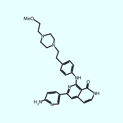 COCCN1CCN(CCc2ccc(Nc3nc(-c4ccc(N)nc4)cc4cc[nH]c(=O)c34)cc2)CC1